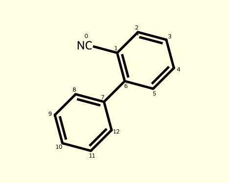 N#Cc1[c]cccc1-c1ccccc1